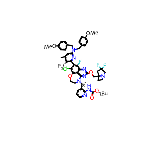 COc1ccc(CN(Cc2ccc(OC)cc2)c2cc(C)c(C(F)(F)F)c(-c3c(Cl)c4c5c(nc(OCC67CCN6CC(F)(F)C7)nc5c3F)N([C@H](C)c3cccnc3NC(=O)OC(C)(C)C)CCO4)n2)cc1